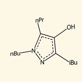 CCCCn1nc(C(C)CC)c(O)c1CCC